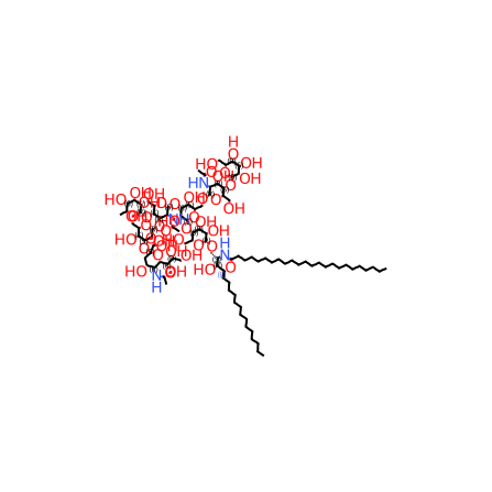 CCCCCCCCCCCCC/C=C/[C@@H](O)[C@H](CO[C@@H]1OC(CO)[C@@H](O[C@@H]2OC(CO[C@@H]3OC(CO)[C@@H](O[C@@H]4OC(CO)[C@H](O)[C@H](O)C4O)[C@H](O)C3NC(C)=O)[C@H](O)[C@H](O[C@@H]3OC(CO)[C@@H](O[C@H]4OC(C)[C@@H](O)C(O)[C@@H]4O)[C@H](O[C@@H]4OC(CO)[C@H](O)[C@H](O[C@]5(C(=O)O)CC(O)[C@@H](NC(C)=O)C([C@H](O)[C@H](O)CO)O5)C4O)C3NC(C)=O)C2O)[C@H](O)C1O)NC(=O)CCCCCCCCCCCCCCCCCCCCCCC